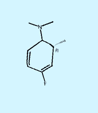 C[C@@H]1C=C(F)C=CC1N(C)C